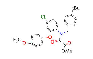 COC(=O)C(=O)N(Cc1ccc(C(C)(C)C)cc1)c1ccc(Cl)cc1Oc1ccc(OC(F)(F)F)cc1